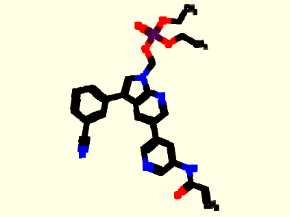 C=CC(=O)Nc1cncc(-c2cnc3c(c2)c(-c2cccc(C#N)c2)cn3COP(=O)(OCC)OCC)c1